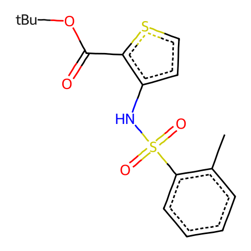 Cc1ccccc1S(=O)(=O)Nc1ccsc1C(=O)OC(C)(C)C